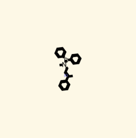 C/C(=C\CN(C)B(c1ccccc1)c1ccccc1)c1ccccc1